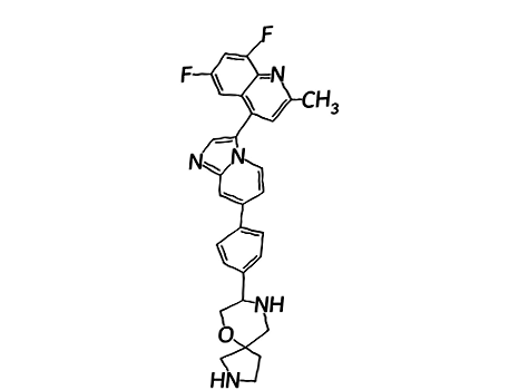 Cc1cc(-c2cnc3cc(-c4ccc(C5COC6(CCNC6)CN5)cc4)ccn23)c2cc(F)cc(F)c2n1